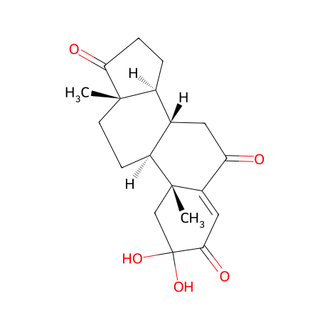 C[C@]12CC(O)(O)C(=O)C=C1C(=O)C[C@@H]1[C@@H]2CC[C@]2(C)C(=O)CC[C@@H]12